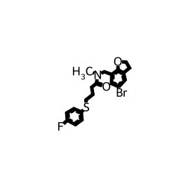 CN(Cc1cc(Br)cc2c1OCC2)C(=O)CCCSc1ccc(F)cc1